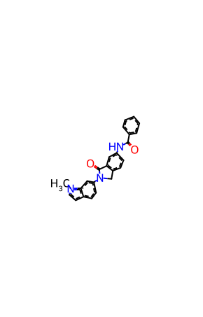 Cn1ccc2ccc(N3Cc4ccc(NC(=O)c5ccccc5)cc4C3=O)cc21